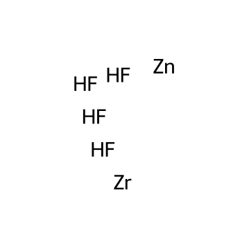 F.F.F.F.[Zn].[Zr]